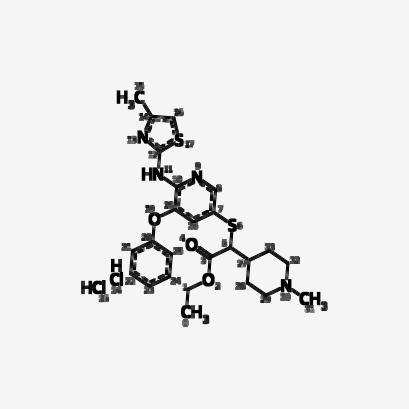 CCOC(=O)C(Sc1cnc(Nc2nc(C)cs2)c(Oc2ccccc2)c1)C1CCN(C)CC1.Cl.Cl